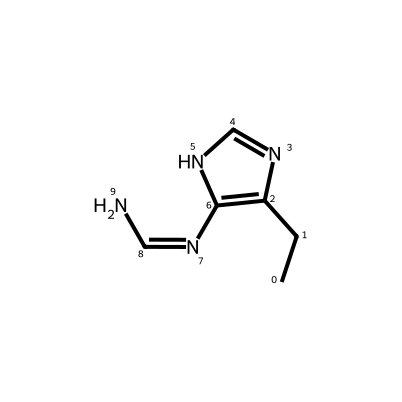 CCc1nc[nH]c1/N=C\N